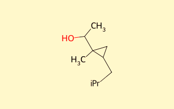 CC(C)CC1CC1(C)C(C)O